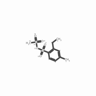 CCc1cc(C)ccc1S(=O)(=O)OS(C)(=O)=O